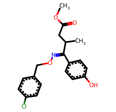 COC(=O)CC(C)C(=NOCc1ccc(Cl)cc1)c1ccc(O)cc1